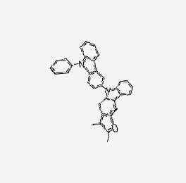 Cc1oc2cc3c4ccccc4n(-c4ccc5c(c4)c4ccccc4n5-c4ccccc4)c3cc2c1C